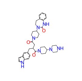 O=C(CC(Cc1ccc2[nH]ccc2c1)C(=O)N1CCC(N2CCNCC2)CC1)N1CCC(N2CCc3ccccc3NC2=O)CC1